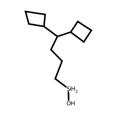 O[SiH2]CCCC(C1CCC1)C1CCC1